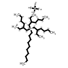 CCCCCCCCCC[P+](CC(CC)CCCC)(CC(CC)CCCC)CC(CC)CCCC.F[B-](F)(F)F